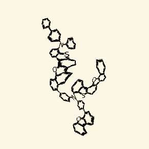 c1ccc(-c2ccc(N(c3ccccc3)c3cccc4c3sc3ccc5c6ccc7c(-c8cccc(N(c9ccc(-c%10cccc%11c%10oc%10ccccc%10%11)cc9)c9cccc%10c9sc9ccc%11c%12ccc%13ccccc%13c%12oc%11c9%10)c8)cccc7c6oc5c34)cc2)cc1